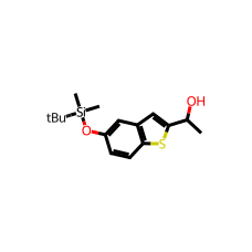 CC(O)c1cc2cc(O[Si](C)(C)C(C)(C)C)ccc2s1